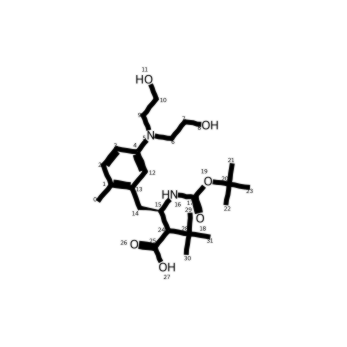 Cc1ccc(N(CCO)CCO)cc1C[C@@H](NC(=O)OC(C)(C)C)C(C(=O)O)C(C)(C)C